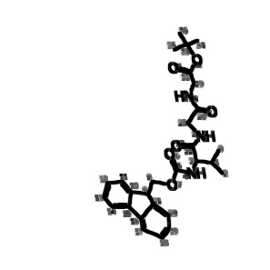 CC(C)C(NC(=O)OCC1c2ccccc2-c2ccccc21)C(=O)NCC(=O)NCC(=O)OC(C)(C)C